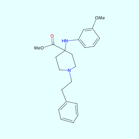 COC(=O)C1(Nc2cccc(OC)c2)CCN(CCc2ccccc2)CC1